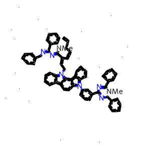 C=CC\C=C/C(=C\Cn1c2ccccc2c2ccc3c(c4ccccc4n3-c3cccc(C(=N/Cc4ccccc4)/N=C(\NC)c4ccccc4)c3)c21)C(=N/C(=N\Cc1ccccc1)c1ccccc1)/NC